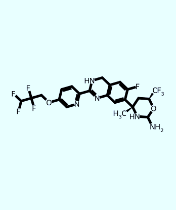 C[C@@]1(c2cc3c(cc2F)CNC(c2ccc(OCC(F)(F)C(F)F)cn2)=N3)C[C@@H](C(F)(F)F)OC(N)N1